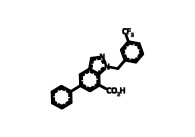 O=C(O)c1cc(-c2ccccc2)cc2cnn(Cc3cccc(C(F)(F)F)c3)c12